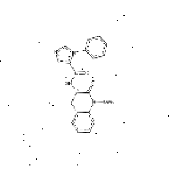 CON1C(=O)[C@@H](NC(=O)c2cncn2-c2ccccc2)Cc2ccccc21